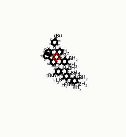 B=C(c1c(B)c(-c2c(B)c(B)c(B)c(B)c2B)c(B)c(B)c1SC)N(c1ccc(C(C)(C)C)cc1)c1c(B)c(B)c(B)c(N(c2cccc(N(c3ccc(C(C)(C)C)cc3)c3ccccc3-c3ccccc3)c2)c2cccc3c2oc2ccccc23)c1Cl